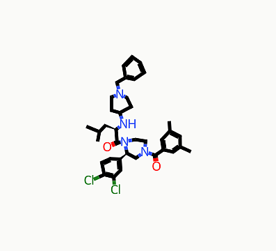 Cc1cc(C)cc(C(=O)N2CCN(C(=O)[C@@H](CC(C)C)NC3CCN(Cc4ccccc4)CC3)[C@H](c3ccc(Cl)c(Cl)c3)C2)c1